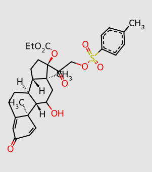 CCOC(=O)O[C@]1(C(=O)COS(=O)(=O)c2ccc(C)cc2)CC[C@H]2[C@@H]3CCC4=CC(=O)C=C[C@]4(C)[C@H]3C(O)C[C@@]21C